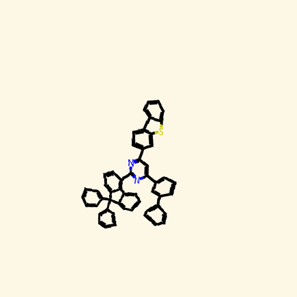 c1ccc(-c2cccc(-c3cc(-c4ccc5c(c4)sc4ccccc45)nc(-c4cccc5c4-c4ccccc4C5(c4ccccc4)c4ccccc4)n3)c2)cc1